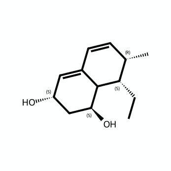 CC[C@@H]1C2C(=C[C@@H](O)C[C@@H]2O)C=C[C@@H]1C